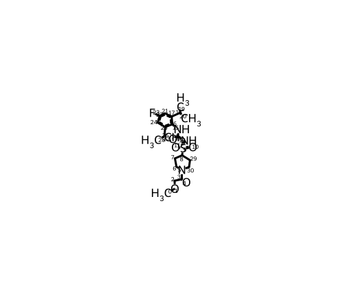 COCC(=O)N1CCC(S(=O)(=O)NC(=O)Nc2c(C(C)C)cc(F)cc2C(C)C)CC1